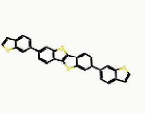 c1cc2ccc(-c3ccc4c(c3)sc3c5ccc(-c6ccc7ccsc7c6)cc5sc43)cc2s1